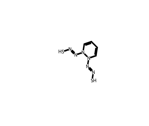 SN=NN1C=CC=CN1N=NS